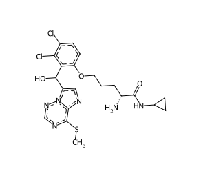 CSc1ncnn2c(C(O)c3c(OCCC[C@@H](N)C(=O)NC4CC4)ccc(Cl)c3Cl)cnc12